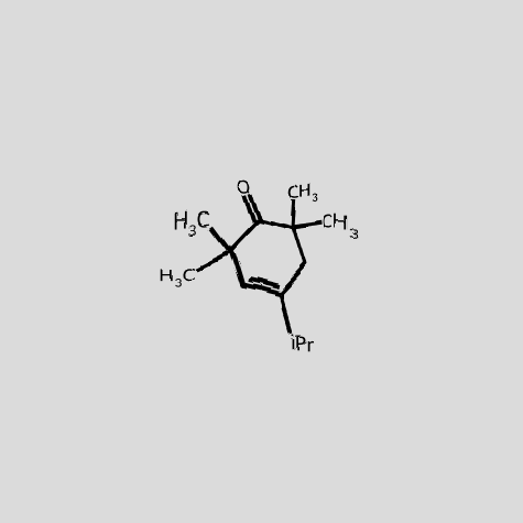 CC(C)C1=CC(C)(C)C(=O)C(C)(C)C1